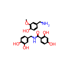 COc1cc(CN)ccc1O.O=C(NCc1ccc(O)c(O)c1)c1ccc(O)cc1O